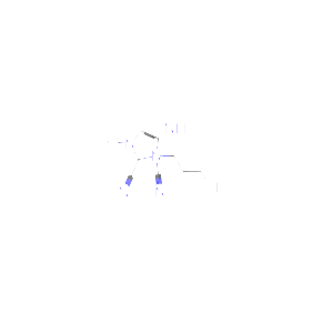 CCCC[N+]1(C#N)C=CN(C)C1C#N.N